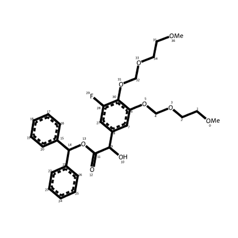 COCCOCOc1cc(C(O)C(=O)OC(c2ccccc2)c2ccccc2)cc(F)c1OCOCCOC